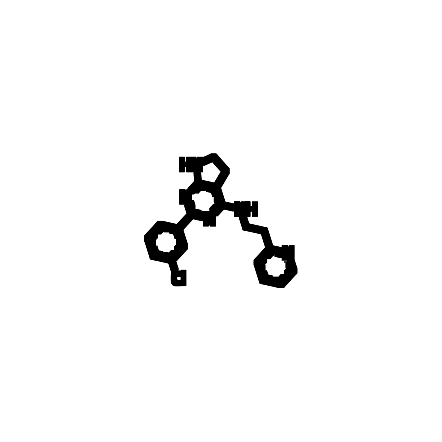 Clc1cccc(-c2nc(NCCc3ccccn3)c3c(n2)NCC3)c1